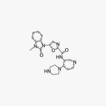 Cn1c(=O)n(-c2cnc(C(=O)Nc3cnccc3N3CCNCC3)o2)c2ccccc21